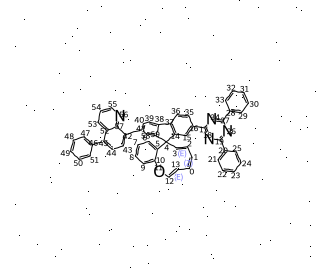 C1=C\C=C\C2(c3ccccc3O/C=C/1)c1cc(-c3nc(-c4ccccc4)nc(-c4ccccc4)n3)ccc1-c1ccc(-c3ccc(-c4ccccc4)c4cccnc34)cc12